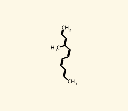 C=C/C=C(C)/C=C\C=C/C=C/C